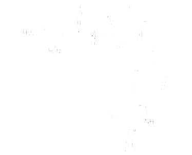 CCC(N)C(=O)Nc1cccc(Sc2ccc(NC(C)=O)cc2)c1